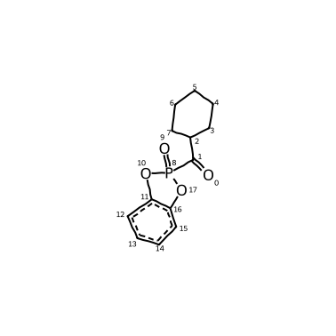 O=C(C1CCCCC1)P1(=O)Oc2ccccc2O1